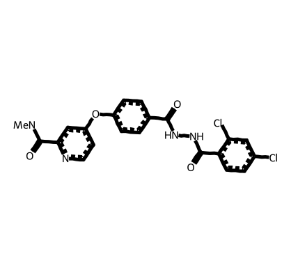 CNC(=O)c1cc(Oc2ccc(C(=O)NNC(=O)c3ccc(Cl)cc3Cl)cc2)ccn1